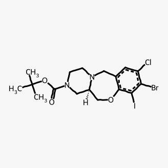 CC(C)(C)OC(=O)N1CCN2Cc3cc(Cl)c(Br)c(I)c3OC[C@H]2C1